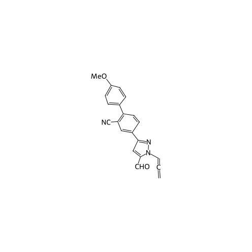 C=C=Cn1nc(-c2ccc(-c3ccc(OC)cc3)c(C#N)c2)cc1C=O